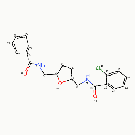 O=C(NCC1CCC(CNC(=O)c2ccccc2Cl)O1)c1ccccc1